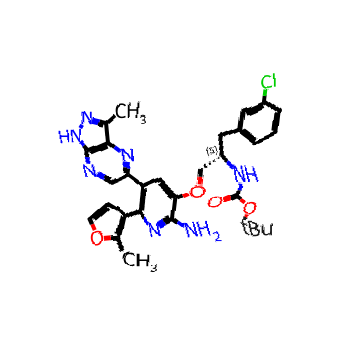 Cc1occc1-c1nc(N)c(OC[C@H](Cc2cccc(Cl)c2)NC(=O)OC(C)(C)C)cc1-c1cnc2[nH]nc(C)c2n1